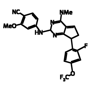 CNC1=NC(Nc2ccc(C#N)c(OC)c2)N=C2C1=CCC2c1ccc(OC(F)(F)F)cc1F